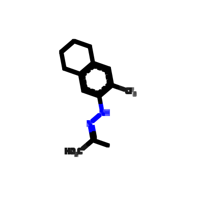 CC(=NNc1cc2c(cc1C(F)(F)F)CCCC2)C(=O)O